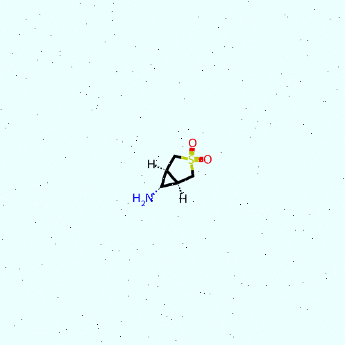 N[C@@H]1[C@H]2CS(=O)(=O)C[C@@H]12